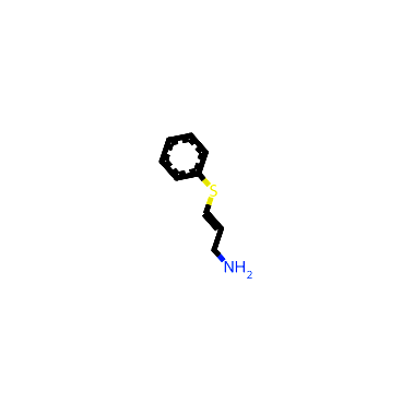 NCC=CSc1ccccc1